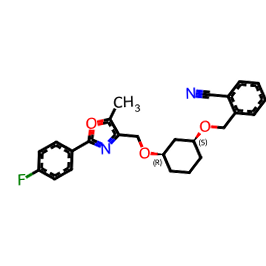 Cc1oc(-c2ccc(F)cc2)nc1CO[C@@H]1CCC[C@H](OCc2ccccc2C#N)C1